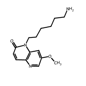 COc1cnc2ccc(=O)n(CCCCCCN)c2c1